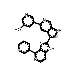 Oc1cncc(-c2cc3c(-c4nc5c(-c6cccnc6)nccc5[nH]4)n[nH]c3cn2)c1